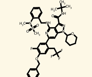 CN(c1ccccc1CNc1nc(-c2cc(F)c(OCc3ccccc3)cc2CC(F)(F)F)cc2c1c(C(=O)NC(C)(C)C)nn2C1CCCCO1)S(C)(=O)=O